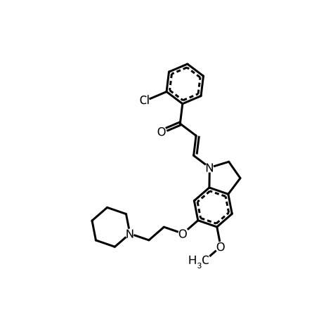 COc1cc2c(cc1OCCN1CCCCC1)N(/C=C/C(=O)c1ccccc1Cl)CC2